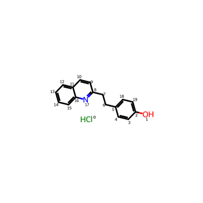 Cl.Oc1ccc(CCc2ccc3ccccc3n2)cc1